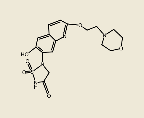 O=C1CN(c2cc3nc(OCCN4CCOCC4)ccc3cc2O)S(=O)(=O)N1